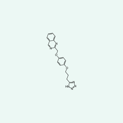 c1ccc2nc(COc3ccc(OCCCc4nnn[nH]4)cc3)ncc2c1